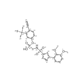 COc1cccc(-c2ncc(S(=O)(=O)NCP(=O)(O)Oc3ccc(C#N)c(C(F)(F)F)c3)s2)c1OC